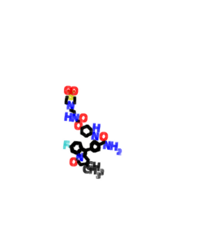 CC1(C)CC(=O)n2c(c(-c3ccc(C(N)=O)c(N[C@H]4CC[C@H](OC(=O)NCCN5CCS(=O)(=O)CC5)CC4)c3)c3ccc(F)cc32)C1